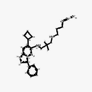 CC(C)(CNCCCN=[N+]=[N-])CNc1nn2c(-c3ccccc3)nnc2cc1C1CCC1